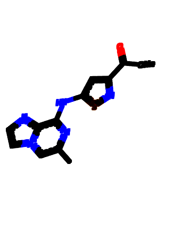 COC(=O)c1cc(Nc2nc(C)cn3ccnc23)sn1